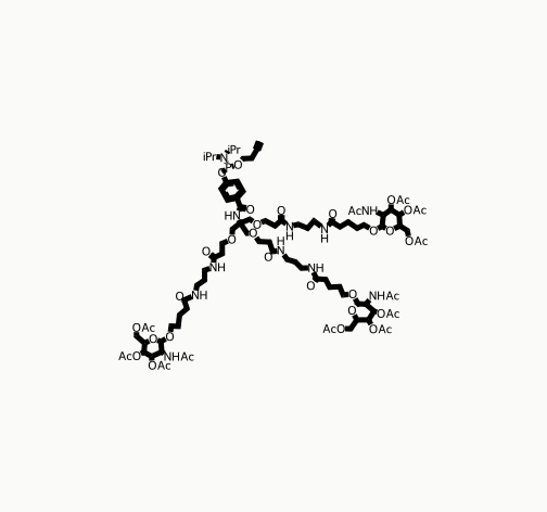 C#CCCOP(Oc1ccc(C(=O)NC(COCCC(=O)NCCCNC(=O)CCCCOC2OC(COC(C)=O)C(OC(C)=O)C(OC(C)=O)C2NC(C)=O)(COCCC(=O)NCCCNC(=O)CCCCOC2OC(COC(C)=O)C(OC(C)=O)C(OC(C)=O)C2NC(C)=O)COCCC(=O)NCCCNC(=O)CCCCOC2OC(COC(C)=O)C(OC(C)=O)C(OC(C)=O)C2NC(C)=O)cc1)N(C(C)C)C(C)C